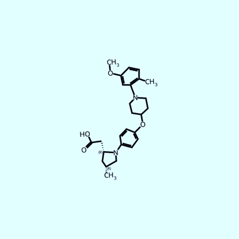 COc1ccc(C)c(N2CCC(Oc3ccc(N4C[C@H](C)C[C@@H]4CC(=O)O)cc3)CC2)c1